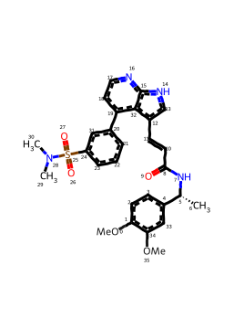 COc1ccc([C@@H](C)NC(=O)/C=C/c2c[nH]c3nccc(-c4cccc(S(=O)(=O)N(C)C)c4)c23)cc1OC